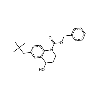 CC(C)(C)Cc1ccc2c(c1)C(O)CCN2C(=O)OCc1ccccc1